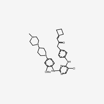 COc1cc(N2CCC(N3CCN(C)CC3)CC2)ccc1Nc1ncc(Cl)c(Nc2ccc(CC(=O)C=C3CCC3)cc2)n1